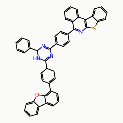 C1=CC(C2=NC(c3ccc(-c4nc5sc6ccccc6c5c5ccccc45)cc3)=NC(c3ccccc3)N2)CC=C1c1cccc2c1oc1ccccc12